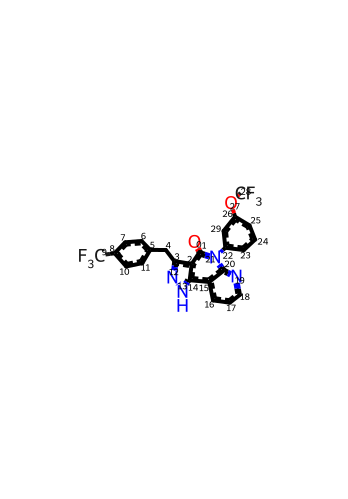 O=c1c2c(Cc3ccc(C(F)(F)F)cc3)n[nH]c2c2cccnc2n1-c1cccc(OC(F)(F)F)c1